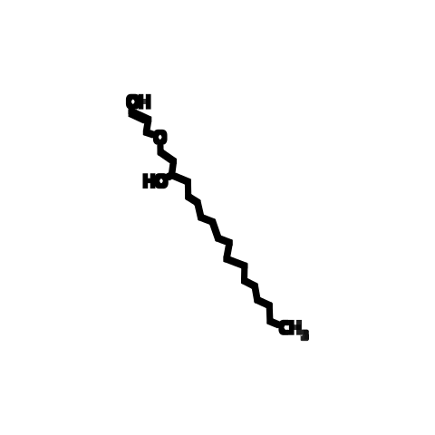 CCCCCCCCCCCCCCCC(O)CCOCC=CO